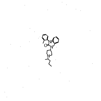 CCCC(C)N1CCC(N(Cc2ccccc2)C(=O)Nc2ccccc2C)CC1